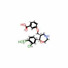 Cl.O=C(O)c1cccc(OC[C@H]2CNCCO[C@H]2c2ccc(Cl)c(Cl)c2)c1